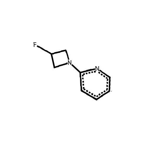 FC1CN(c2cc[c]cn2)C1